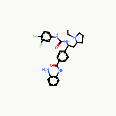 CCN1CCCC1CC(NC(=O)Nc1ccc(F)c(F)c1)c1ccc(C(=O)Nc2ccccc2N)cc1